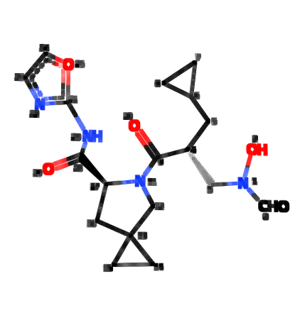 O=CN(O)C[C@@H](CC1CC1)C(=O)N1CC2(CC2)C[C@H]1C(=O)Nc1ncco1